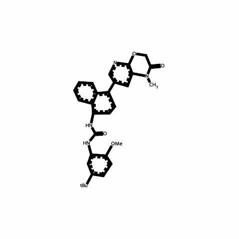 COc1ccc(C(C)(C)C)cc1NC(=O)Nc1ccc(-c2cnc3c(c2)N(C)C(=O)CO3)c2ccccc12